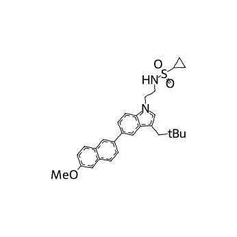 COc1ccc2cc(-c3ccc4c(c3)c(CC(C)(C)C)cn4CCNS(=O)(=O)C3CC3)ccc2c1